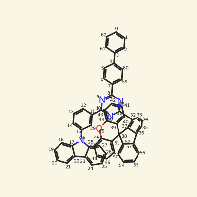 c1ccc(-c2ccc(-c3nc(-c4cccc(-n5c6ccccc6c6ccccc65)c4)nc(-c4cccc5c4C4(c6ccccc6Oc6ccccc64)c4ccccc4-5)n3)cc2)cc1